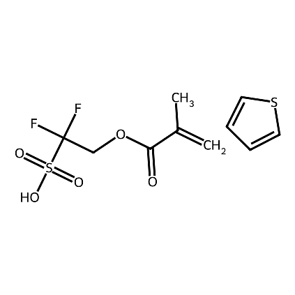 C=C(C)C(=O)OCC(F)(F)S(=O)(=O)O.c1ccsc1